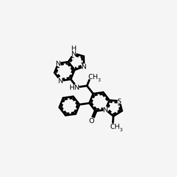 Cc1csc2cc(C(C)Nc3ncnc4[nH]cnc34)c(-c3ccccc3)c(=O)n12